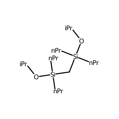 CCC[Si](CCC)(C[Si](CCC)(CCC)OC(C)C)OC(C)C